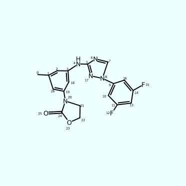 Cc1cc(Nc2ncn(-c3cc(F)cc(F)c3)n2)cc(N2CCOC2=O)c1